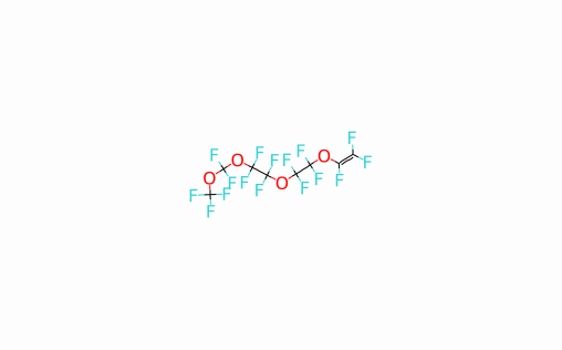 FC(F)=C(F)OC(F)(F)C(F)(F)OC(F)(F)C(F)(F)OC(F)(F)OC(F)(F)F